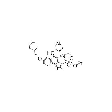 CCOCOCc1c(C)oc2c1c(C(c1ccncc1)N1CCOCC1)c(O)c1cc(OCCC3CCCCC3)ccc12